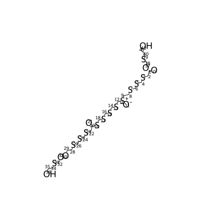 O=C(CSCSCSCC[S+]([O-])CSCSCSCSC(=O)CSCSCSCCOOCSCCO)OCSCCO